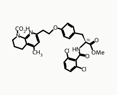 COC(=O)[C@H](Cc1ccc(OCCc2cc(C)c3c(n2)N(C(=O)O)CCC3)cc1)NC(=O)c1c(Cl)cccc1Cl